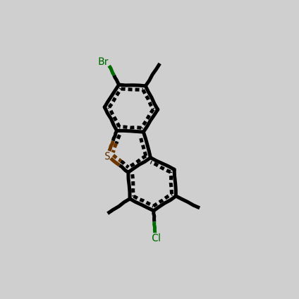 Cc1cc2c(cc1Br)sc1c(C)c(Cl)c(C)cc12